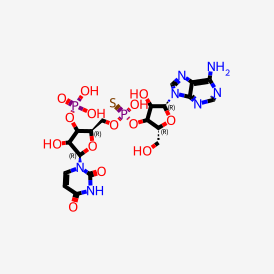 Nc1ncnc2c1ncn2[C@@H]1O[C@H](CO)C(OP(O)(=S)OC[C@H]2O[C@@H](n3ccc(=O)[nH]c3=O)C(O)C2OP(=O)(O)O)C1O